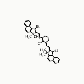 CCC1C(=CC=C2CCCC(C=CC3C(CC)c4c(ccc5ccccc45)[N+]3(C)C)=C2Cl)[N+](C)(C)c2ccc3ccccc3c21